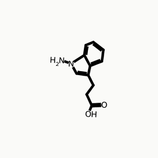 Nn1cc(CCC(=O)O)c2ccccc21